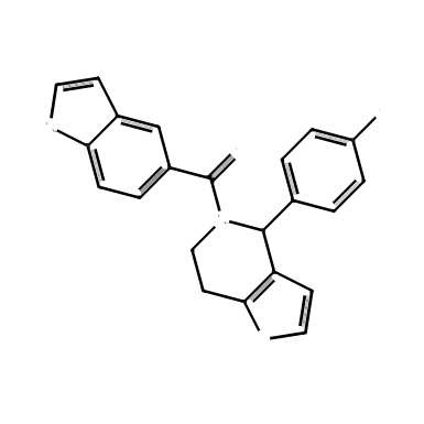 O=C(c1ccc2[nH]ccc2c1)N1CCc2sccc2C1c1ccc(Cl)cc1